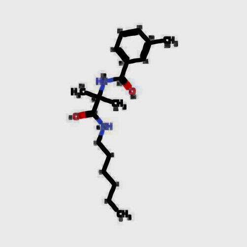 CCCCCCNC(=O)C(C)(C)NC(=O)c1cccc(C)c1